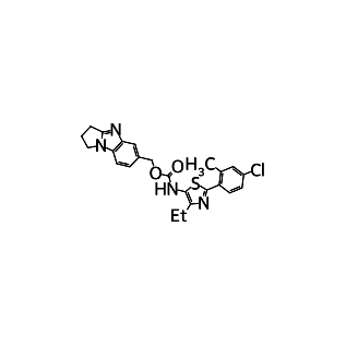 CCc1nc(-c2ccc(Cl)cc2C)sc1NC(=O)OCc1ccc2c(c1)nc1n2CCC1